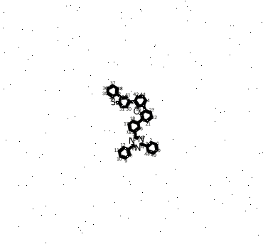 c1ccc(-c2nc(-c3ccccc3)nc(-c3cccc(-c4cccc5c4oc4c(-c6ccc7sc8ccccc8c7c6)cccc45)c3)n2)cc1